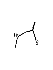 CNC(C)[S]